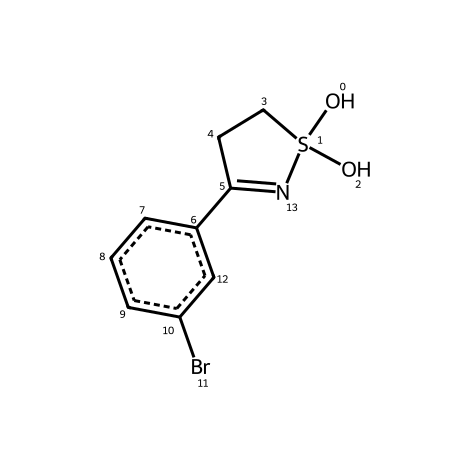 OS1(O)CCC(c2cccc(Br)c2)=N1